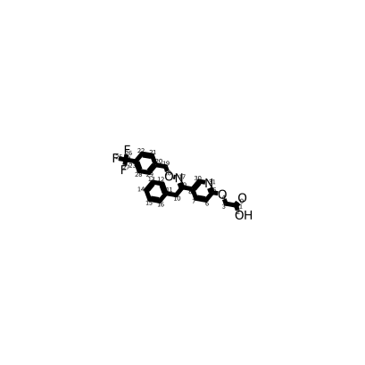 O=C(O)COc1ccc(/C(Cc2ccccc2)=N/OCc2ccc(C(F)(F)F)cc2)cn1